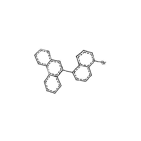 Brc1cccc2c(-c3cc4ccccc4c4ccccc34)cccc12